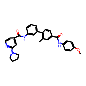 COc1ccc(NC(=O)c2ccc(-c3cccc(NC(=O)c4ccnc(N5CCCC5)c4)c3)c(C)c2)cc1